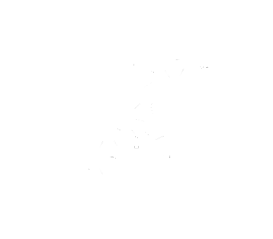 COc1ccc2c(c1)[C@]1(C[C@H]1c1ccc3c(Nc4ccc(C(=O)N5CCOCC5)nc4OC)nn(C(=O)OC(C)(C)C)c3c1)C(=O)N2C(=O)O